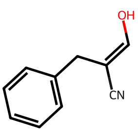 N#C/C(=C/O)Cc1ccccc1